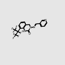 O=C1Nc2c(cccc2C(F)(C(F)(F)F)C(F)(F)F)CN1N=Cc1cccnc1